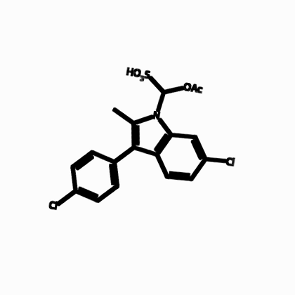 CC(=O)OC(n1c(C)c(-c2ccc(Cl)cc2)c2ccc(Cl)cc21)S(=O)(=O)O